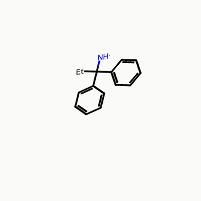 CCC([NH])(c1ccccc1)c1ccccc1